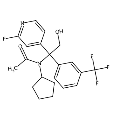 CC(=O)N(C1CCCC1)C(CO)(c1cccc(C(F)(F)F)c1)c1ccnc(F)c1